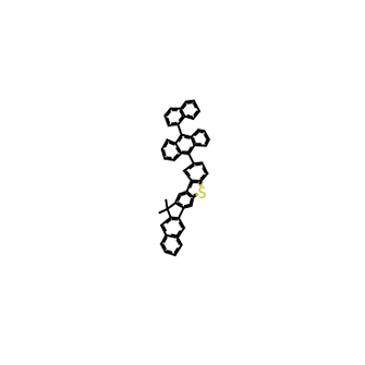 CC1(C)c2cc3ccccc3cc2-c2cc3sc4ccc(-c5c6ccccc6c(-c6cccc7ccccc67)c6ccccc56)cc4c3cc21